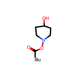 CCC(C)C(=O)ON1CCC(O)CC1